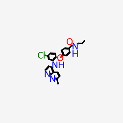 CCCNC(=O)c1ccc(Oc2ccc(Cl)cc2Nc2ccnc3nc(C)ccc23)cc1